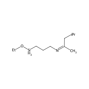 CCO[SiH2]CCCN=C(C)CC(C)C